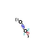 C=CCOc1c(F)cc(/C=N/N=C/c2ccc(CC)cc2)cc1F